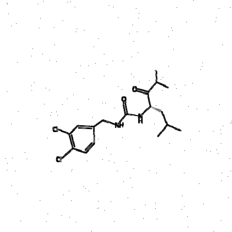 CC(C)C[C@H](NC(=O)NCc1ccc(Cl)c(Cl)c1)C(=O)C(C)C